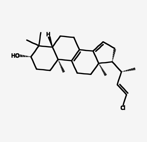 C[C@H](/C=C/Cl)[C@H]1CC=C2C3=C(CC[C@@]21C)[C@@]1(C)CC[C@H](O)C(C)(C)[C@@H]1CC3